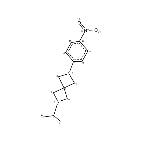 CC(C)N1CC2(CN(c3ccc([N+](=O)[O-])cc3)C2)C1